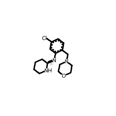 Clc1ccc(CN2CCOCC2)c(/N=C2\CCCCN2)c1